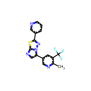 Cc1ncc(-c2cnc3sc(-c4cccnc4)nn23)cc1C(F)(F)F